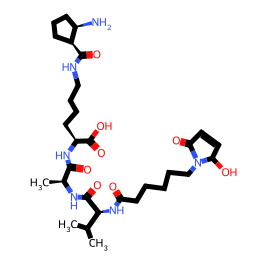 CC(C)[C@H](NC(=O)CCCCCN1C(=O)C=CC1O)C(=O)N[C@@H](C)C(=O)N[C@@H](CCCCNC(=O)[C@H]1CCC[C@H]1N)C(=O)O